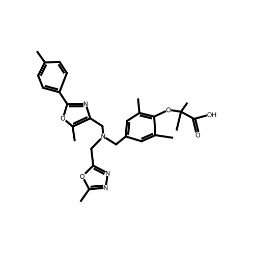 Cc1ccc(-c2nc(CN(Cc3cc(C)c(OC(C)(C)C(=O)O)c(C)c3)Cc3nnc(C)o3)c(C)o2)cc1